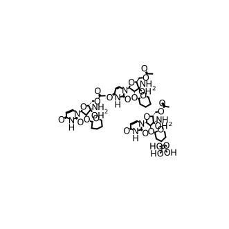 CC(=O)OC[C@@H]1O[C@H](n2ccc(=O)[nH]c2=O)[C@@H](OC2CCCCO2)[C@@]1(N)O.CC(=O)OC[C@H]1O[C@@H](n2ccc(=O)[nH]c2=O)[C@H](OC2CCCCO2)[C@]1(N)O.CC(=O)OC[C@H]1O[C@@H](n2ccc(=O)[nH]c2=O)[C@H](OC2CCCCO2)[C@]1(N)O.O=P(O)(O)O